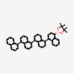 CC1(C)OB(c2ccc(-c3cccc4c(-c5cccc6c(-c7cccc8ccccc78)cccc56)cccc34)c3ccccc23)OC1(C)C